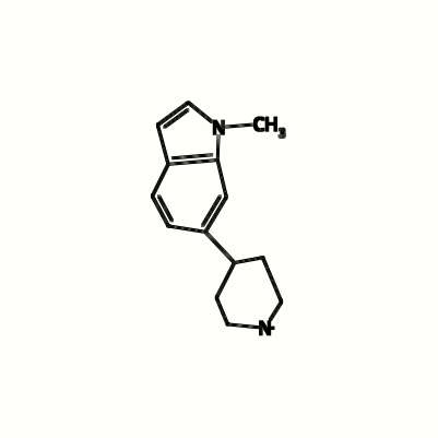 Cn1ccc2ccc(C3CC[N]CC3)cc21